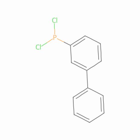 ClP(Cl)c1cccc(-c2ccccc2)c1